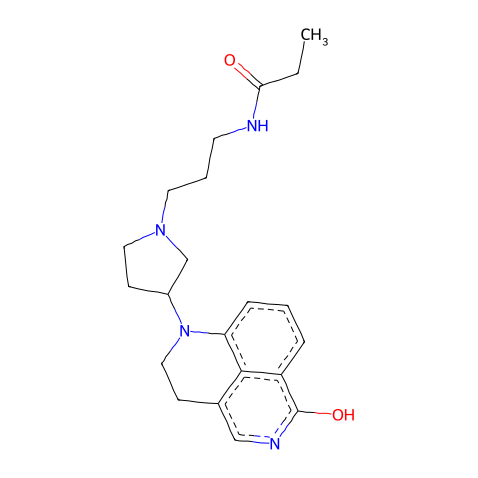 CCC(=O)NCCCN1CCC(N2CCc3cnc(O)c4cccc2c34)C1